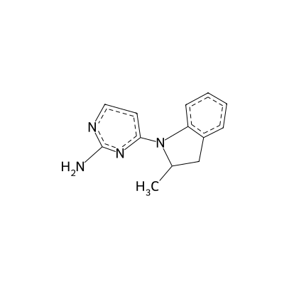 CC1Cc2ccccc2N1c1ccnc(N)n1